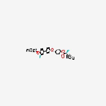 CCCCCCCCOc1ccc(-c2ccc(OC[C@H]3CC[C@H](OC(=O)[C@H](F)CCCC)CC3)cc2)cc1F